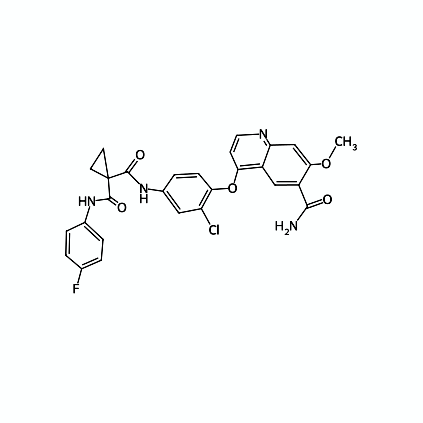 COc1cc2nccc(Oc3ccc(NC(=O)C4(C(=O)Nc5ccc(F)cc5)CC4)cc3Cl)c2cc1C(N)=O